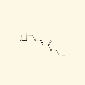 CCCOC(=O)C=COCC1(C)COC1